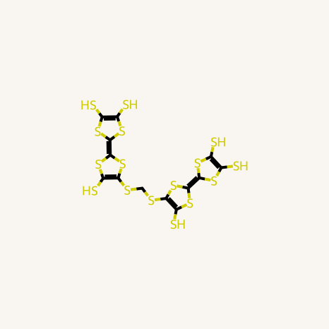 SC1=C(S)SC(=C2SC(S)=C(SCSC3=C(S)SC(=C4SC(S)=C(S)S4)S3)S2)S1